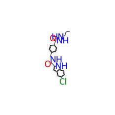 CCCNNC(=O)c1ccc(CNC(=O)c2cc3cc(Cl)ccc3[nH]2)cc1